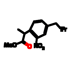 COC(=O)C(C)c1ccc(CC(C)C)cc1[N+](=O)[O-]